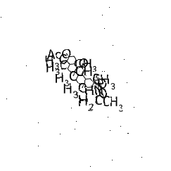 C=C(C)ONC(=O)[C@@]1(C)CC[C@]2(C)CC[C@]3(C)C(=CC(=O)C4[C@@]5(C)CC[C@H](OC(C)=O)C(C)(C)C5CC[C@]43C)C2C1